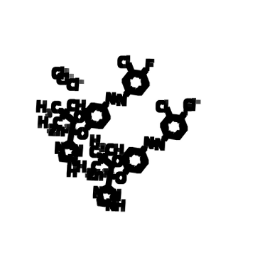 CC(C)(C)C(=O)[C]([Zn+2])(Oc1ccc(N=Nc2ccc(F)c(Cl)c2)cc1)c1nc[nH]n1.CC(C)(C)C(=O)[C]([Zn+2])(Oc1ccc(N=Nc2ccc(F)c(Cl)c2)cc1)c1nc[nH]n1.[Cl-].[Cl-].[Cl-].[Cl-]